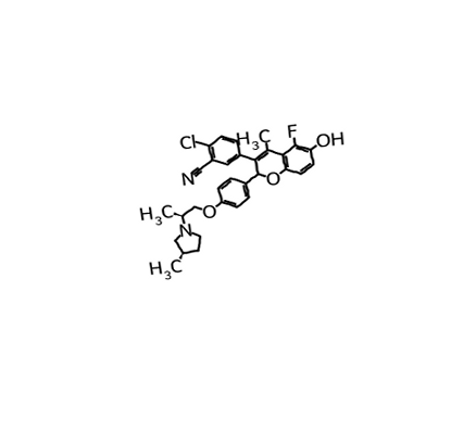 CC1=C(c2ccc(Cl)c(C#N)c2)C(c2ccc(OC[C@H](C)N3CC[C@@H](C)C3)cc2)Oc2ccc(O)c(F)c21